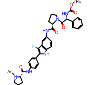 CC(=O)N1CCC[C@H]1C(=O)Nc1ccc(-c2[nH]c3ccc(NC(=O)[C@@H]4CCCN4C(=O)[C@@H](NC(=O)OC(C)(C)C)c4ccccc4)cc3c2F)cc1